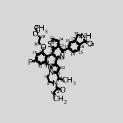 C=CC(=O)N1CCn2nc(-c3nc(-c4ccc5c(c4)CNC5=O)c4ccsc4c3-c3c(F)cc(F)cc3OCCOC)cc2C1C